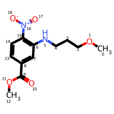 COCCCNc1cc(C(=O)OC)ccc1[N+](=O)[O-]